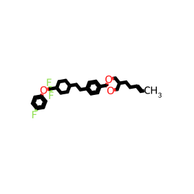 C/C=C/CCC1COC(c2ccc(CCC3CCC(C(F)(F)Oc4ccc(F)cc4)CC3)cc2)OC1